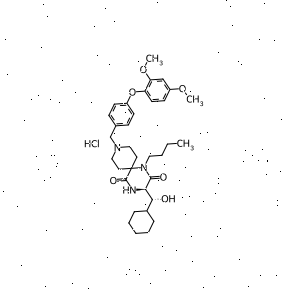 CCCCN1C(=O)[C@@H]([C@H](O)C2CCCCC2)NC(=O)C12CCN(Cc1ccc(Oc3ccc(OC)cc3OC)cc1)CC2.Cl